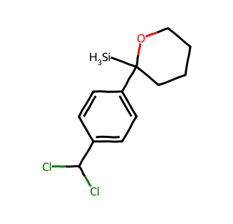 [SiH3]C1(c2ccc(C(Cl)Cl)cc2)CCCCO1